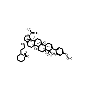 C=C(C)[C@@H]1CC[C@]2(NCCN3CCCCS3(=O)=O)CC[C@]3(C)[C@H](CC[C@@H]4[C@@]5(C)CC=C(c6ccc(OC=O)cc6)C(C)(C)[C@@H]5CC[C@]43C)[C@@H]12